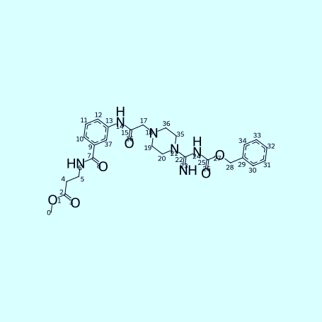 COC(=O)CCNC(=O)c1cccc(NC(=O)CN2CCN(C(=N)NC(=O)OCc3ccccc3)CC2)c1